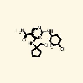 CCC1(Nc2nc(NC3CCC(O)CC3)ncc2C(N)=O)CCCC1